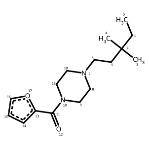 CCC(C)(C)CCN1CCN(C(=O)c2ccco2)CC1